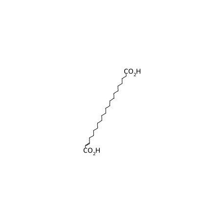 O=C(O)C=CCCCCCCCCCCCCCCCCCCC(=O)O